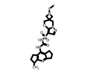 CC1CCc2c1nc1c(c2NC(=O)NS(=O)(=O)c2cnn3c2OCC2(CN(SI)C2)C3)CCC1